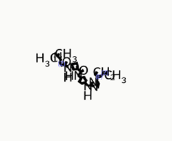 C=C/C(=C\C=C/C)c1ccnc(Nc2ccc(NC(=O)c3cccc(NC(=O)/C=C\CN(C)C)c3)cc2)n1